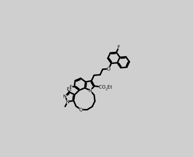 CCOC(=O)c1c(CCCOc2ccc(F)c3ccccc23)c2ccc(F)c3c2n1CCCCOCc1c-3c(CC)nn1C